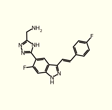 NCc1nnc(-c2cc3c(C=Cc4ccc(F)cc4)n[nH]c3cc2F)[nH]1